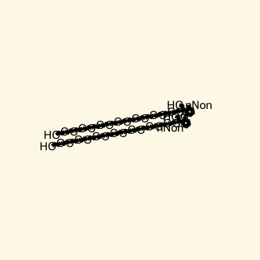 CCCCCCCCCc1cccc(Oc2cccc(CCCCCCCCC)c2C(CO)OCCOCCOCCOCCOCCOCCOCCOCCOCCOCCOCCOCCOCCOCCO)c1C(CO)OCCOCCOCCOCCOCCOCCOCCOCCOCCOCCOCCOCCOCCOCCO